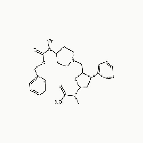 CCCN(C(=O)OCc1ccccc1)C1CCN(CC2CC(N(C)C(=O)OCC(C)C)CC2c2ccccc2)CC1